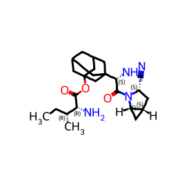 CC[C@@H](C)[C@@H](N)C(=O)OC12CC3CC(C1)CC([C@H](N)C(=O)N1[C@H](C#N)C[C@@H]4C[C@@H]41)(C3)C2